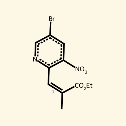 CCOC(=O)/C(C)=C\c1ncc(Br)cc1[N+](=O)[O-]